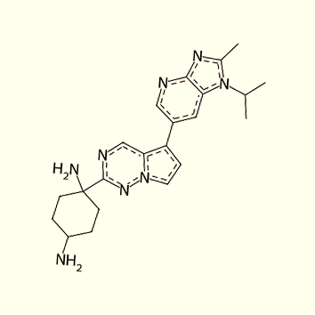 Cc1nc2ncc(-c3ccn4nc(C5(N)CCC(N)CC5)ncc34)cc2n1C(C)C